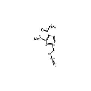 COC(=O)c1ccc(CN=[N+]=[N-])cc1OC